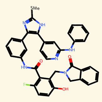 CSc1nc(-c2cccc(NC(=O)c3c(F)ccc(O)c3CN3Cc4ccccc4C3=O)c2)c(-c2ccnc(Nc3ccccc3)c2)[nH]1